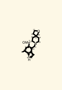 COc1cc(C)c2[nH]ccc2c1CN1CCC2(CCOC2)CC1